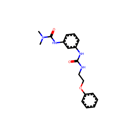 CN(C)C(=O)Nc1cccc(NC(=O)NCCOc2ccccc2)c1